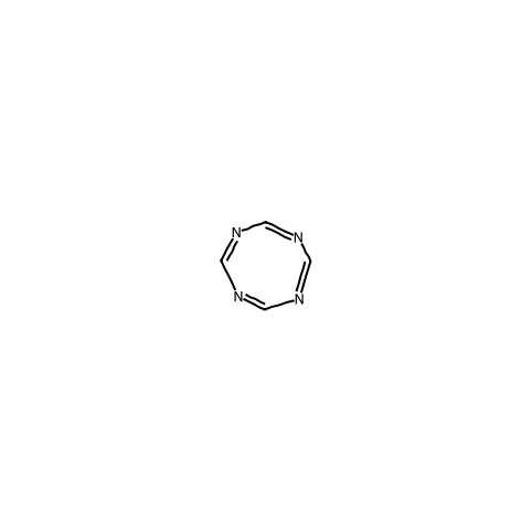 C1=NC=NC=NC=N1